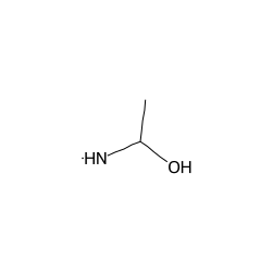 CC([NH])O